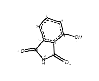 O=C1NC(=O)c2c(O)[c]ccc21